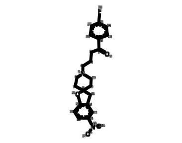 O=C(CCCN1CCC2(CC1)Cc1cc([N+](=O)[O-])ccc1O2)c1ccc(F)cc1